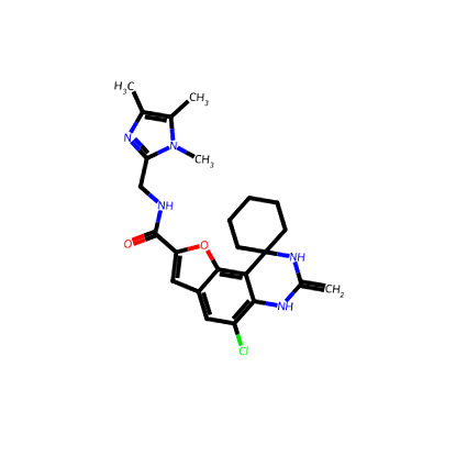 C=C1Nc2c(Cl)cc3cc(C(=O)NCc4nc(C)c(C)n4C)oc3c2C2(CCCCC2)N1